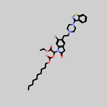 CCCCCCCCCCOC(=O)OC(C(=O)OCC)N1C(=O)Cc2cc(CCN3CCN(c4nsc5ccccc45)CC3)c(Cl)cc21